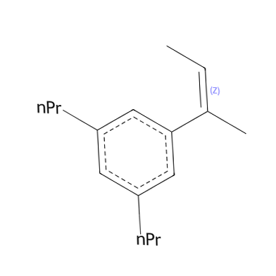 C/C=C(/C)c1cc(CCC)cc(CCC)c1